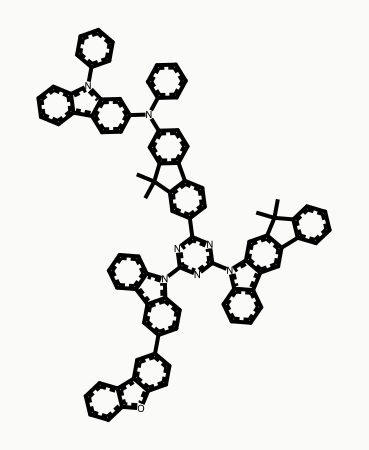 CC1(C)c2cc(-c3nc(-n4c5ccccc5c5cc(-c6ccc7oc8ccccc8c7c6)ccc54)nc(-n4c5ccccc5c5cc6c(cc54)C(C)(C)c4ccccc4-6)n3)ccc2-c2ccc(N(c3ccccc3)c3ccc4c5ccccc5n(-c5ccccc5)c4c3)cc21